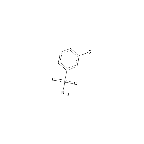 NS(=O)(=O)c1cccc([S])c1